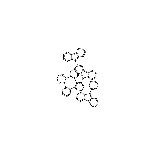 c1ccc2c(c1)-c1ccccc1-c1ccc(-c3ccccc3-n3c4ccccc4c4ccccc43)c(-n3c4ccccc4c4cc(-n5c6ccccc6c6ccccc65)ccc43)c1-c1ccccc1-2